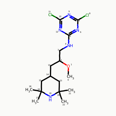 COC(CNc1nc(Cl)nc(Cl)n1)CC1CC(C)(C)NC(C)(C)C1